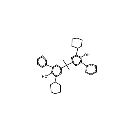 CC(C)(c1cc(-c2ccccc2)c(O)c(C2CCCCC2)c1)c1cc(-c2ccccc2)c(O)c(C2CCCCC2)c1